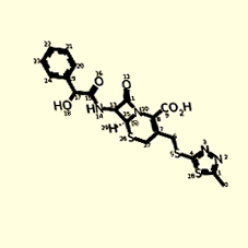 Cc1nnc(SCC2=C(C(=O)O)N3C(=O)C(NC(=O)C(O)c4ccccc4)[C@@H]3SC2)s1